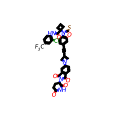 O=C1CCC(N2C(=O)c3ccc(N4CC(C#Cc5ccc6c(c5)oc(=S)n6C5(C(=O)Nc6ccc(C(F)(F)F)cc6Cl)CCC5)C4)cc3C2=O)C(=O)N1